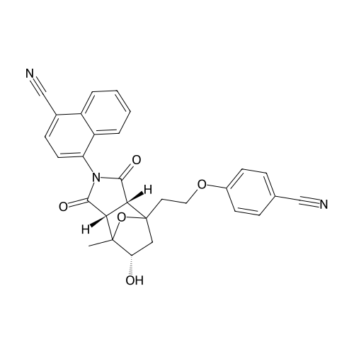 CC12OC(CCOc3ccc(C#N)cc3)(C[C@@H]1O)[C@H]1C(=O)N(c3ccc(C#N)c4ccccc34)C(=O)[C@H]12